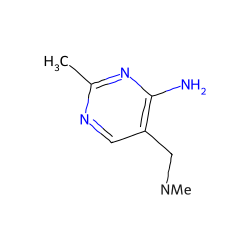 CNCc1cnc(C)nc1N